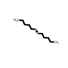 [CH2]CCCCN=NCCCCC